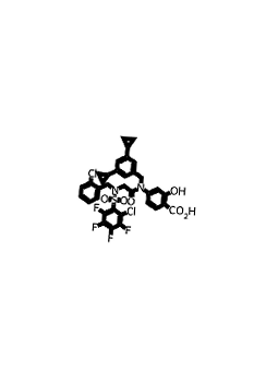 O=C(O)c1ccc(N(Cc2cc(C3CC3)cc(C3CC3)c2)C(=O)CN(Cc2ccccc2Cl)S(=O)(=O)c2c(F)c(F)c(F)c(F)c2Cl)cc1O